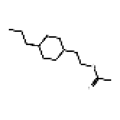 CCCC1CCC(CCOC(C)=O)CC1